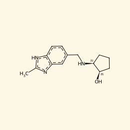 Cc1nc2cc(CN[C@H]3CCC[C@H]3O)ccc2[nH]1